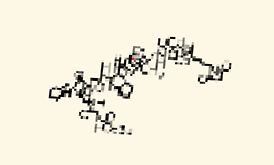 CCOCc1nc2c(NC(=O)CNC(=O)[C@H](Cc3ccccc3)NC(=O)CNC(=O)CNC(=O)OC(C)(C)C)nc3ccccc3c2n1CC(C)(C)OCCNC(=O)C(C)(C)NC(=O)CCCCCN1C(=O)C=CC1=O